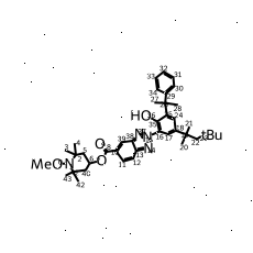 CON1C(C)(C)CC(OC(=O)c2ccc3nn(-c4cc(C(C)(C)CC(C)(C)C)cc(C(C)(C)c5ccccc5)c4O)nc3c2)CC1(C)C